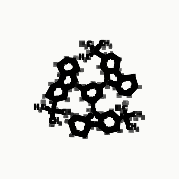 C[Si](C)(C)c1ccc2c3ccccc3n(-c3cc(-n4c5ccccc5c5ccc([Si](C)(C)C)cc54)cc(-n4c5ccccc5c5ccc([Si](C)(C)C)cc54)c3)c2c1